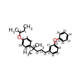 CCC(C)Oc1ccc(C(C)(C)CCCc2cccc(Oc3ccccc3)c2)cc1